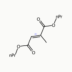 CCCOC(=O)/C=C(\C)C(=O)OCCC